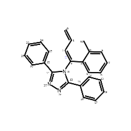 C=C/C=C(\c1ccccc1C)n1c(-c2ccccc2)nnc1-c1ccccc1